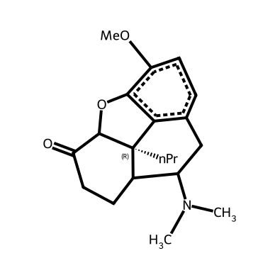 CCC[C@@]12c3c4ccc(OC)c3OC1C(=O)CCC2C(N(C)C)C4